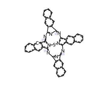 c1ccc2cc3c(cc2c1)C1=NC/3=N\c2c3cc4ccccc4cc3c3n2Sn2/c(c4cc5ccccc5cc4/c2=N/C2=NC(=N\3)/c3cc4ccccc4cc32)=N\1